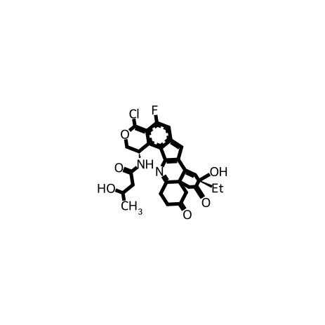 CC[C@]1(O)C=C2C3=C(N=C4CCC(=O)CC24CC1=O)c1c2c(c(F)cc1=C3)=C(Cl)OC[C@H]2NC(=O)CC(C)O